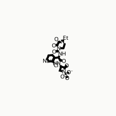 CCN1CCN(C(=O)NC(C(=O)NC2CN(S(=O)(=O)[O-])C2=O)C2=C(Cl)CCCC2)C(=O)C1=O.[Na+]